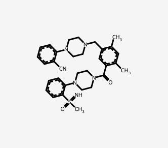 Cc1cc(C)c(C(=O)N2CCN(c3ccccc3S(C)(=N)=O)CC2)cc1CN1CCN(c2ccccc2C#N)CC1